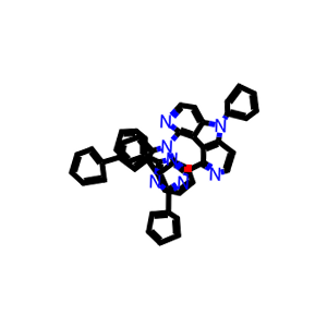 c1ccc(-c2ccc3c(c2)c2ccccc2n3-c2nccc3c2c2c(-c4nc(-c5ccccc5)nc(-c5ccccc5)n4)nccc2n3-c2ccccc2)cc1